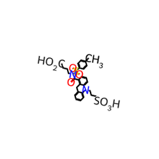 Cc1ccc(S(=O)(=O)N(CCCC(=O)O)C(=O)c2cccc3c2Cc2ccccc2N3CCCS(=O)(=O)O)cc1